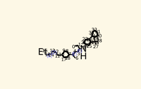 C=C/C(=C\C=C(/C)c1ccc(C/C=C\C=C/CC)cc1)Nc1ccc2c(c1)C(C)(I)c1ccccc1-2